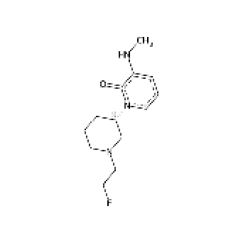 CNc1cccn([C@H]2CCCN(CCF)C2)c1=O